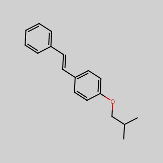 CC(C)COc1ccc(/C=C/c2ccccc2)cc1